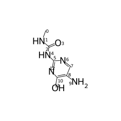 CNC(=O)Nc1ncc(N)c(O)n1